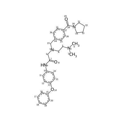 CN(C)CCN(CC(=O)Nc1ccc(Oc2ccccc2)cc1)Cc1ccc(C(=O)N2CCCC2)cc1